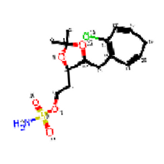 CC1(C)OC(CCOS(N)(=O)=O)C(CC2=C(Cl)C=CCC=C2)O1